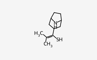 CC(C)=C(S)C1CC2CCC(C1)N2